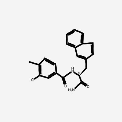 Cc1ccc(C(=O)N[C@@H](Cc2ccc3ccccc3c2)C(N)=O)cc1Cl